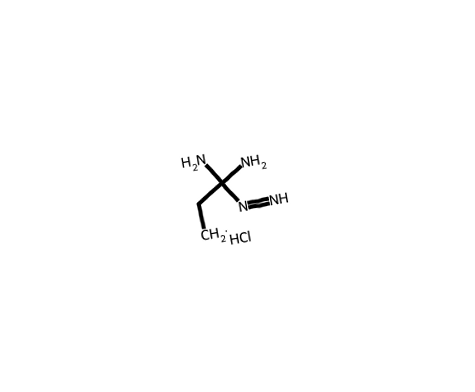 Cl.[CH2]CC(N)(N)N=N